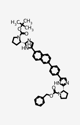 CC(C)(C)OC(=O)N1CCC[C@H]1C1NC=C(c2ccc3cc(-c4ccc(-c5cnc([C@@H]6CCCN6C(=O)OCc6ccccc6)[nH]5)cc4)ccc3c2)N1